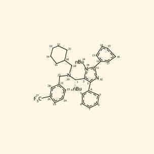 CCCC[C@@H](c1c(-c2ccccc2)nc(-c2ccccc2)n1CCCC)N(Cc1cccc(C(F)(F)F)c1)CC1CCCCC1